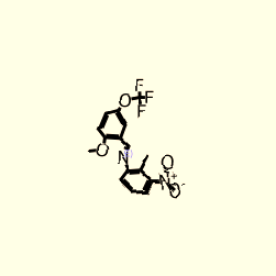 COc1ccc(OC(F)(F)F)cc1/C=N/c1cccc([N+](=O)[O-])c1C